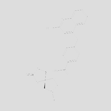 Cc1cc(Cc2ccc(C(=O)N[C@@H]3CN(C(C)C)C[C@]34NC(=O)NC4=O)cc2)c2ccccc2n1